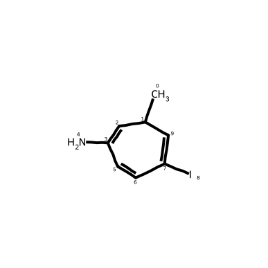 CC1C=C(N)C=CC(I)=C1